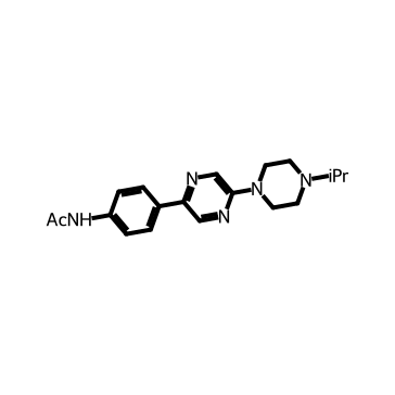 CC(=O)Nc1ccc(-c2cnc(N3CCN(C(C)C)CC3)cn2)cc1